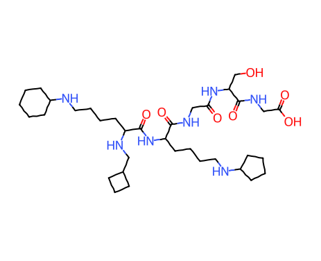 O=C(O)CNC(=O)C(CO)NC(=O)CNC(=O)C(CCCCNC1CCCC1)NC(=O)C(CCCCNC1CCCCC1)NCC1CCC1